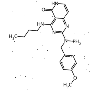 CCCCNc1nc(N(P)Cc2ccc(OC)cc2)nc2cc[nH]c(=O)c12